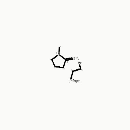 CCCCCCCCCC(C)=O.CN1CCCC1=O